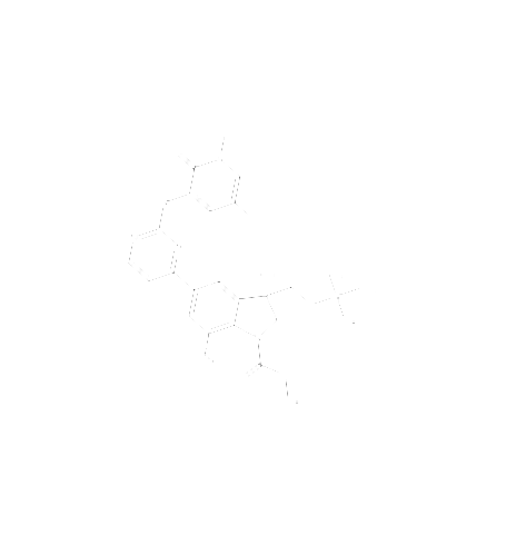 Cn1cc(Cl)cc(Nc2nccc(-c3cc(C#N)c4c(c3)[C@@](C)(CO[Si](C)(C)C(C)(C)C)CN4C(=O)OC(C)(C)C)n2)c1=O